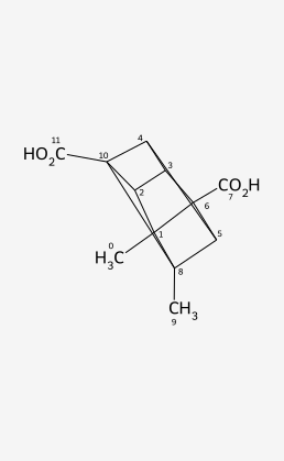 CC12C3C4C5C(C41C(=O)O)C2(C)C53C(=O)O